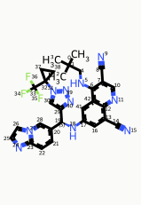 CC(C)(C)CNc1c(C#N)cnc2c(C#N)cc(N[C@@H](c3ccc4nccn4c3)c3cn(C4(C(F)(F)F)CC4)nn3)cc12